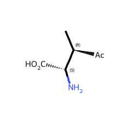 CC(=O)[C@H](C)[C@H](N)C(=O)O